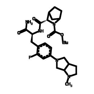 CN1CCC2CN(c3ccc(C[C@H](NC(=O)[C@@H]4C5CCC(C5)N4C(=O)OC(C)(C)C)C(N)=O)c(F)c3)CC21